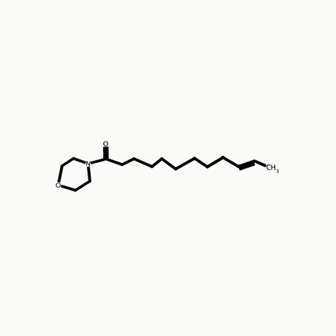 C/C=C/CCCCCCCCC(=O)N1CCOCC1